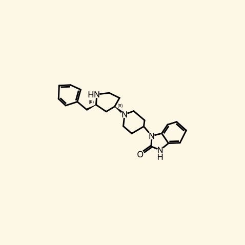 O=c1[nH]c2ccccc2n1C1CCN([C@@H]2CCN[C@H](Cc3ccccc3)C2)CC1